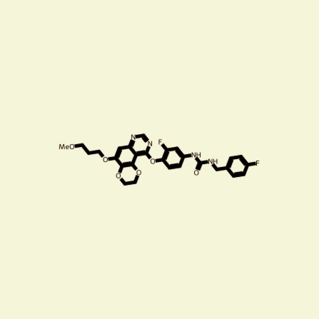 COCCCOc1cc2ncnc(Oc3ccc(NC(=O)NCc4ccc(F)cc4)cc3F)c2c2c1OCCO2